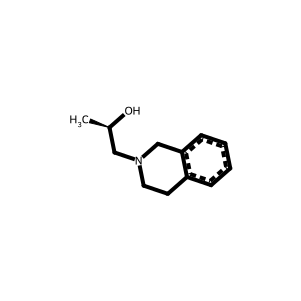 C[C@@H](O)CN1CCc2ccccc2C1